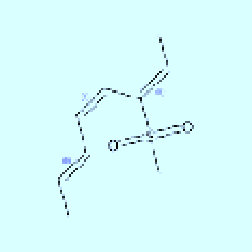 C/C=C/C=C\C(=C/C)S(C)(=O)=O